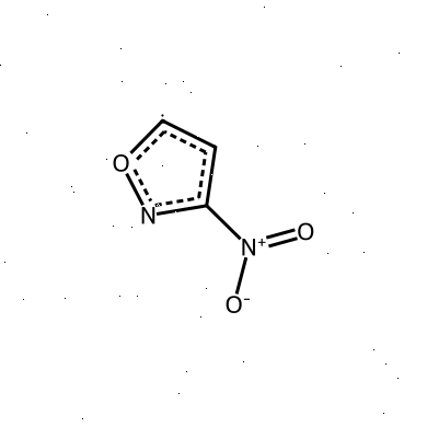 O=[N+]([O-])c1c[c]on1